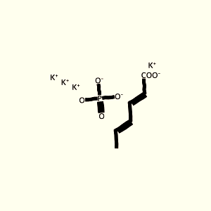 CC=CC=CC(=O)[O-].O=P([O-])([O-])[O-].[K+].[K+].[K+].[K+]